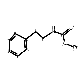 CC(C)OC(=O)NCCc1ccccc1